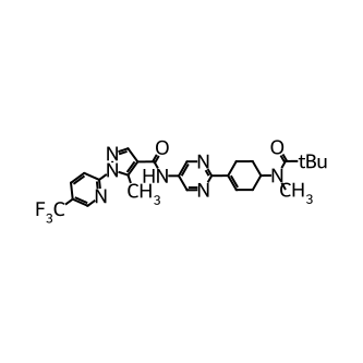 Cc1c(C(=O)Nc2cnc(C3=CCC(N(C)C(=O)C(C)(C)C)CC3)nc2)cnn1-c1ccc(C(F)(F)F)cn1